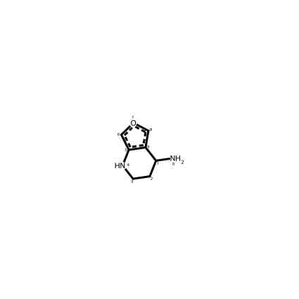 NC1CCNc2cocc21